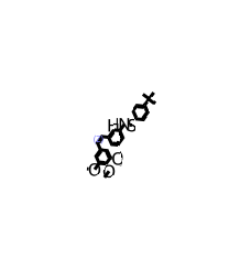 COc1cc(/C=C\c2cccc(NSc3ccc(C(C)(C)C)cc3)c2)cc(OC)c1OC